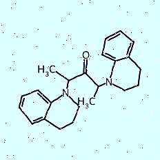 CC(C(=O)C(C)N1CCCc2ccccc21)N1CCCc2ccccc21